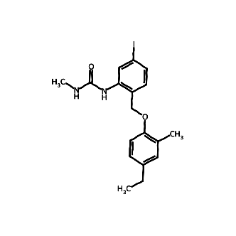 CCc1ccc(OCc2ccc(I)cc2NC(=O)NC)c(C)c1